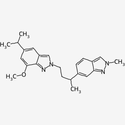 COc1cc(C(C)C)cc2cn(CCC(C)c3ccc4cn(C)nc4c3)nc12